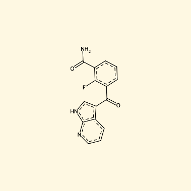 NC(=O)c1cccc(C(=O)c2c[nH]c3ncccc23)c1F